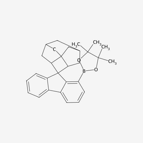 CC1(C)OB(c2cccc3c2C2(c4ccccc4-3)C3CC4CC5CC2C3(C4)C5)OC1(C)C